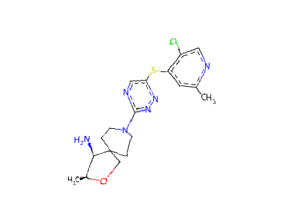 Cc1cc(Sc2cnc(N3CCC4(CC3)CO[C@@H](C)[C@H]4N)nn2)c(Cl)cn1